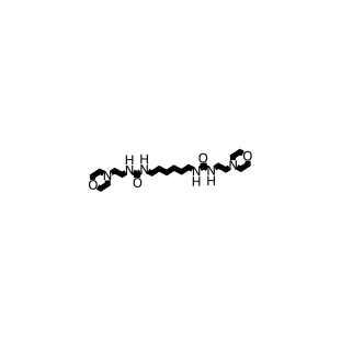 O=C(NCCCCCCNC(=O)NCCN1CCOCC1)NCCN1CCOCC1